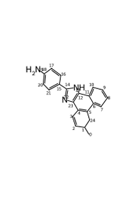 CC1C=Cc2c(c3ccccc3c3[nH]c(-c4ccc(N)cc4)nc23)C1